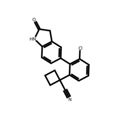 N#CC1(c2cccc(Cl)c2-c2ccc3c(c2)CC(=O)N3)CCC1